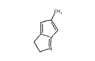 CC1=CC2=NCCC2=C1